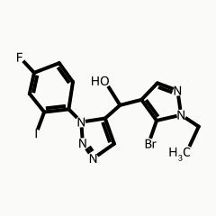 CCn1ncc(C(O)c2cnnn2-c2ccc(F)cc2I)c1Br